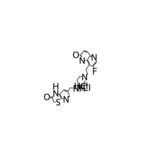 COc1ccc2ncc(F)c(CCN3CCC(NCc4cnc5c(c4)NC(=O)CS5)CC3)c2n1.Cl.Cl